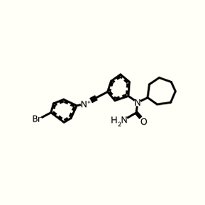 NC(=O)N(c1cccc(C#[N+]c2ccc(Br)cc2)c1)C1CCCCCC1